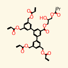 C=CC(=O)OCc1cc(COC(=O)C=C)cc(-c2cc(C(=O)OCC(O)COC(=O)C(C)C)cc(-c3cc(COC(=O)C=C)cc(COC(=O)C=C)c3)c2)c1